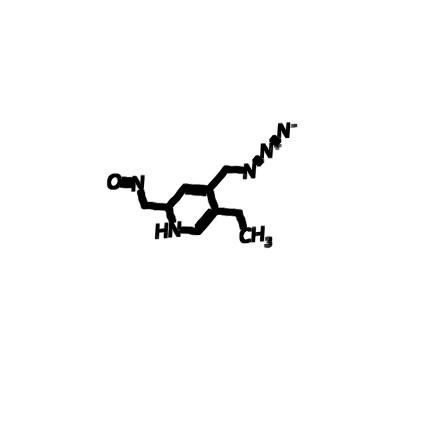 CCC1=CNC(CN=O)C=C1CN=[N+]=[N-]